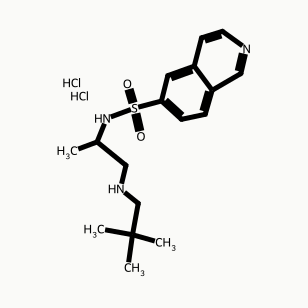 CC(CNCC(C)(C)C)NS(=O)(=O)c1ccc2cnccc2c1.Cl.Cl